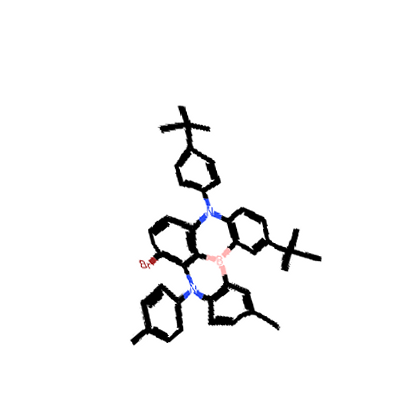 Cc1ccc(N2c3ccc(C)cc3B3c4cc(C(C)(C)C)ccc4N(c4ccc(C(C)(C)C)cc4)c4ccc(Br)c2c43)cc1